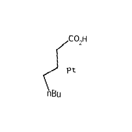 CCCCCCCC(=O)O.[Pt]